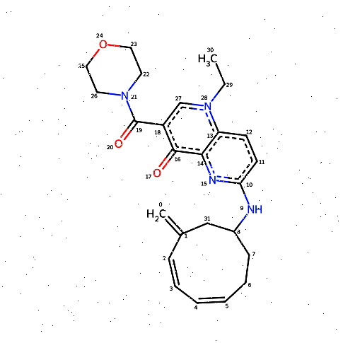 C=C1/C=C\C=C/CCC(Nc2ccc3c(n2)c(=O)c(C(=O)N2CCOCC2)cn3CC)C1